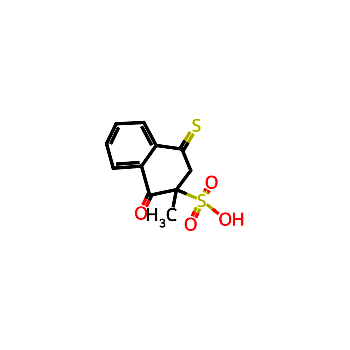 CC1(S(=O)(=O)O)CC(=S)c2ccccc2C1=O